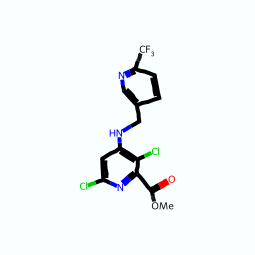 COC(=O)c1nc(Cl)cc(NCc2ccc(C(F)(F)F)nc2)c1Cl